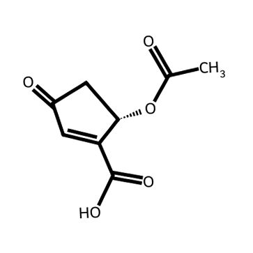 CC(=O)O[C@H]1CC(=O)C=C1C(=O)O